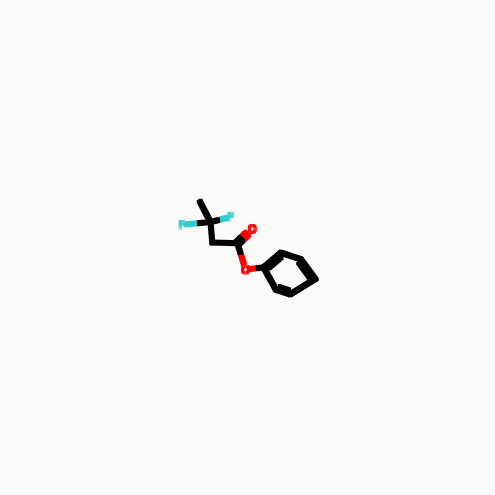 CC(F)(F)CC(=O)Oc1ccccc1